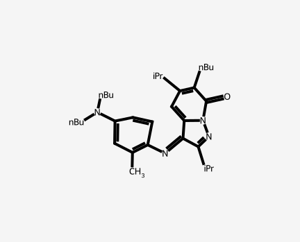 CCCCc1c(C(C)C)cc2n(c1=O)N=C(C(C)C)/C2=N/c1ccc(N(CCCC)CCCC)cc1C